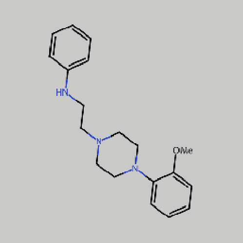 COc1ccccc1N1CCN(CCNc2ccccc2)CC1